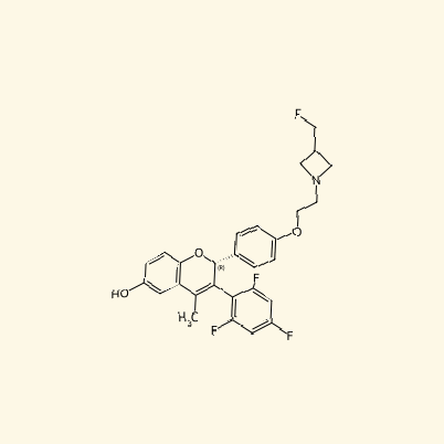 CC1=C(c2c(F)cc(F)cc2F)[C@@H](c2ccc(OCCN3CC(CF)C3)cc2)Oc2ccc(O)cc21